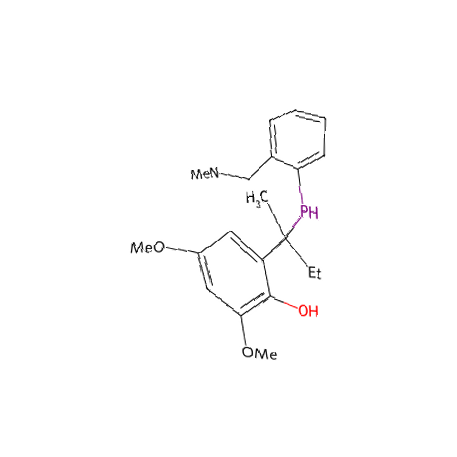 CCC(C)(Pc1ccccc1CNC)c1cc(OC)cc(OC)c1O